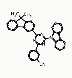 CC1(C)c2ccccc2-c2cc(-c3nc(-c4cccc(C#N)c4)nc(-n4c5ccccc5c5ccccc54)n3)ccc21